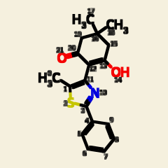 Cc1sc(-c2ccccc2)nc1C1=C(O)CC(C)(C)CC1=O